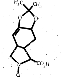 CC1(C)OC2=CC3CN(Cl)C(C(=O)O)C3CC2O1